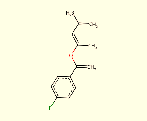 BC(=C)/C=C(\C)OC(=C)c1ccc(F)cc1